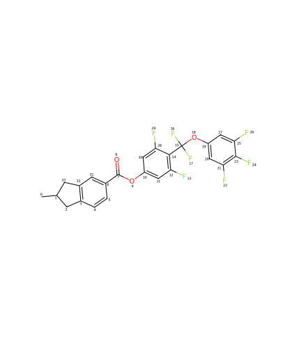 CC1Cc2ccc(C(=O)Oc3cc(F)c(C(F)(F)Oc4cc(F)c(F)c(F)c4)c(F)c3)cc2C1